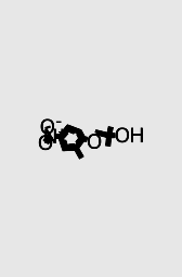 Cc1cc([N+](=O)[O-])ccc1OCC(C)(C)O